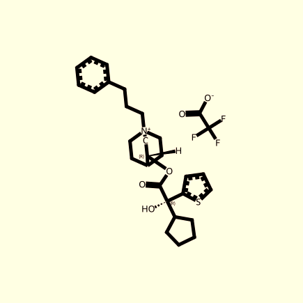 O=C(O[C@H]1C[N+]2(CCCc3ccccc3)CCC1CC2)[C@@](O)(c1cccs1)C1CCCC1.O=C([O-])C(F)(F)F